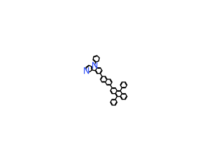 C1=CCCC(n2c3ccncc3c3cc(-c4ccc5cc(-c6ccc7c(-c8ccccc8)c8ccccc8c(-c8ccccc8)c7c6)ccc5c4)ccc32)=C1